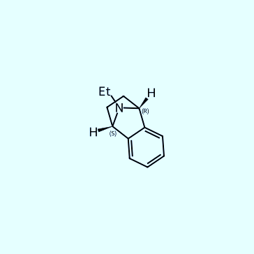 CCN1[C@@H]2CC[C@H]1c1ccccc12